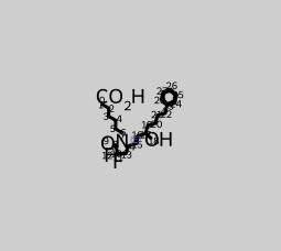 O=C(O)CCCCCCN1C(=O)C(F)(F)CC1/C=C/C(O)CCCCc1ccccc1